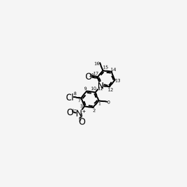 Cc1cc([N+](=O)[O-])c(Cl)cc1-n1cccc(C)c1=O